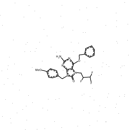 COc1ccc(Cn2c(=O)n(CC(F)C(F)F)c3c(OCc4ccccc4)nc(N)nc32)cc1